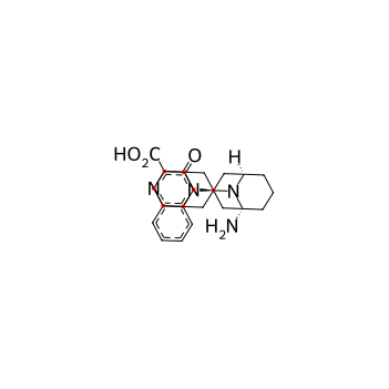 N[C@]12CCC[C@H](C[C@H](n3c(=O)c(C(=O)O)nc4ccccc43)C1)N2C1CC2CCCC(C2)C1